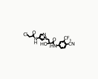 C[C@](O)(Cn1cc(NC(=O)CCl)cn1)C(=O)Nc1ccc(C#N)c(C(F)(F)F)c1